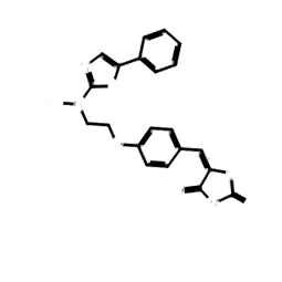 CN(CCOc1ccc(/C=C2/SC(=O)NC2=O)cc1)c1ncc(-c2ccccc2)s1